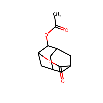 CC(=O)OC1C2CC3CC(C2)C(=O)OC1C3